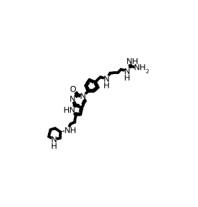 N=C(N)NCCCNCc1ccc(-n2cc3cc(CCN[C@H]4CCCNC4)[nH]c3nc2=O)cc1